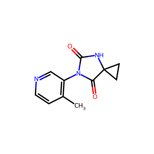 Cc1ccncc1N1C(=O)NC2(CC2)C1=O